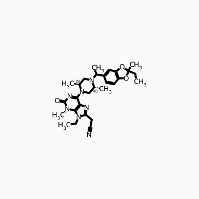 CCn1c(CC#N)nc2c(N3C[C@@H](C)N(C(C)c4ccc5c(c4)OC(C)(CC)O5)C[C@@H]3C)nc(=O)n(C)c21